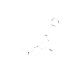 COc1ccccc1CCC(=O)NC1SC2=CN(C(=O)CCO)CCC2C1C#N